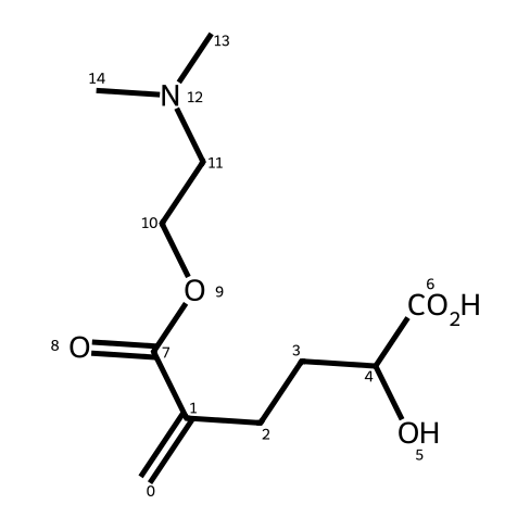 C=C(CCC(O)C(=O)O)C(=O)OCCN(C)C